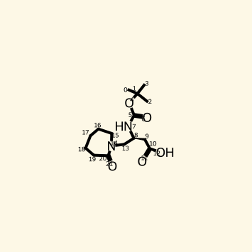 CC(C)(C)OC(=O)N[C@@H](CC(=O)O)CN1CCCCCC1=O